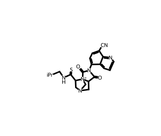 CC(C)CNC(=S)C1CN2CC3C(=O)N(c4ccc(C#N)c5ncccc45)C(=O)[N+]31C2